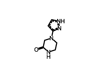 O=C1CN(c2cc[nH]n2)CCN1